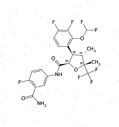 C[C@H]1[C@H](c2ccc(F)c(F)c2OC(F)F)[C@H](C(=O)Nc2ccc(F)c(C(N)=O)c2)O[C@@]1(C)C(F)(F)F